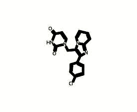 O=c1ccn(Cc2c(-c3ccc(Cl)cc3)nc3ccccn23)c(=O)[nH]1